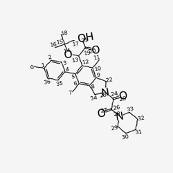 Cc1ccc(-c2c(C)c3c(c(C)c2C(OC(C)(C)C)C(=O)O)CN(C(=O)C(=O)N2CCCCC2)C3)cc1